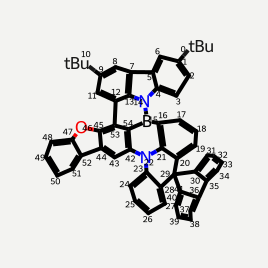 CC(C)(C)c1ccc2c(c1)c1cc(C(C)(C)C)cc3c1n2B1c2cccc4c2N(c2ccccc2C42c4ccccc4-c4ccccc42)c2cc4c(oc5ccccc54)c-3c21